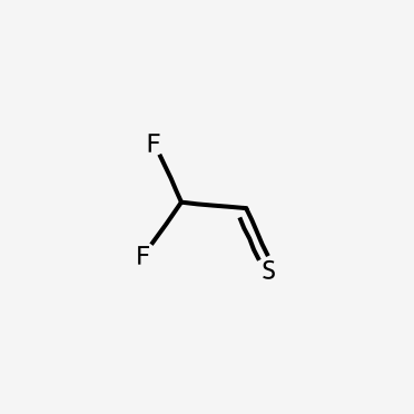 FC(F)C=S